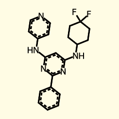 FC1(F)CCC(Nc2cc(Nc3ccncc3)nc(-c3ccccc3)n2)CC1